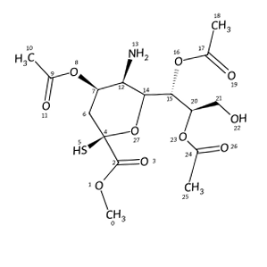 COC(=O)[C@]1(S)C[C@@H](OC(C)=O)[C@@H](N)C([C@H](OC(C)=O)[C@@H](CO)OC(C)=O)O1